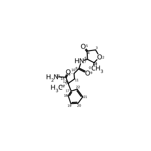 C[C@@H]1OCC(=O)C1NC(=O)[CH]C[C@](C)(C(N)=O)c1ccccc1